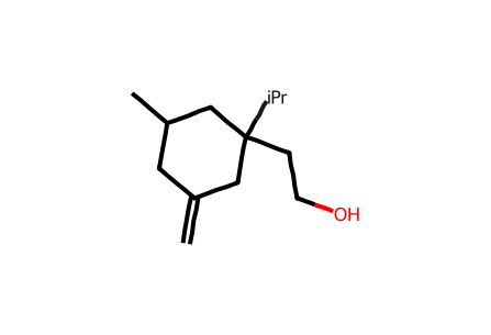 C=C1CC(C)CC(CCO)(C(C)C)C1